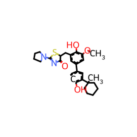 COc1cc(-c2ccc(O)c(C3(C)CCCCC3)c2)cc(CC2SC(N3CCCC3)=NC2=O)c1O